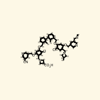 C=NCc1cncc(COc2cc(OCc3cccc(-c4cccc(COc5cc(OCc6cncc(C#N)c6)c(CN6CC(C(=O)O)C6)cc5Cl)c4C)c3C)c(Cl)cc2CN2CC(C)C2)c1